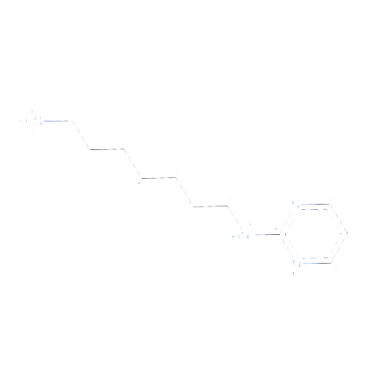 NCCCCCCCNc1n[c]ccn1